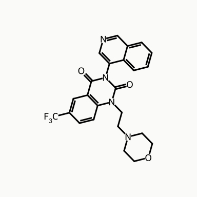 O=c1c2cc(C(F)(F)F)ccc2n(CCN2CCOCC2)c(=O)n1-c1cncc2ccccc12